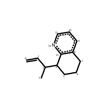 C=CC(C)C1CCCc2cccnc21